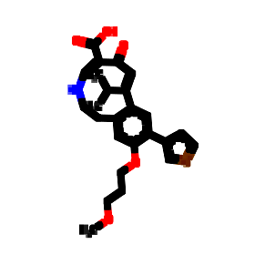 COCCCOc1cc2c(cc1-c1ccsc1)/C(C(C)C)=C/C(=O)/C(C(=O)O)=C\NCC2